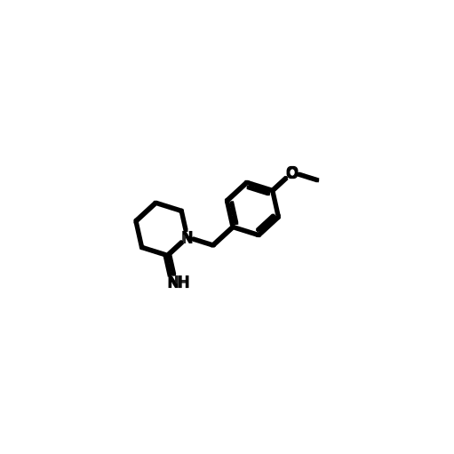 COc1ccc(CN2CCCCC2=N)cc1